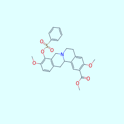 COC(=O)c1cc2c(cc1OC)CCN1Cc3c(ccc(OC)c3OS(=O)(=O)c3ccccc3)CC21